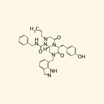 C=CCN1CC(=O)N2[C@@H](Cc3ccc(O)cc3)C(=O)N(Cc3cccc4cn[nH]c34)C[C@@H]2N1C(=O)NCc1ccccc1